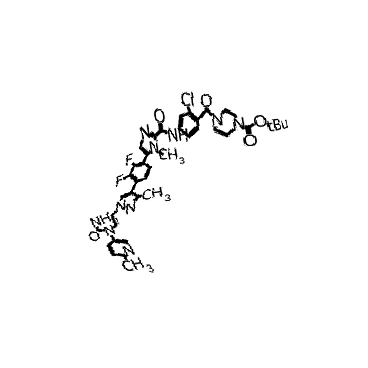 Cc1ccc(N(CCn2cc(-c3ccc(-c4cnc(C(=O)Nc5ccc(C(=O)N6CCN(C(=O)OC(C)(C)C)CC6)c(Cl)c5)n4C)c(F)c3F)c(C)n2)C(N)=O)cn1